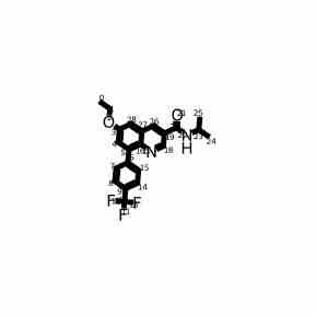 CCOc1cc(-c2ccc(C(F)(F)F)cc2)c2ncc(C(=O)NC(C)C)cc2c1